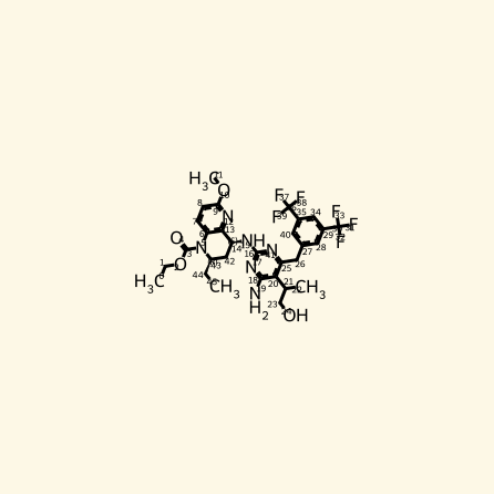 CCOC(=O)N1c2ccc(OC)nc2[C@@H](Nc2nc(N)c(C(C)CO)c(Cc3cc(C(F)(F)F)cc(C(F)(F)F)c3)n2)C[C@H]1CC